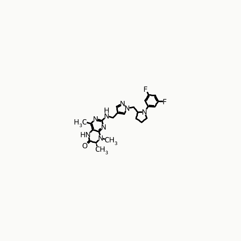 Cc1nc(NCc2cnn(CC3CCCN3c3cc(F)cc(F)c3)c2)nc2c1NC(=O)[C@H](C)N2C